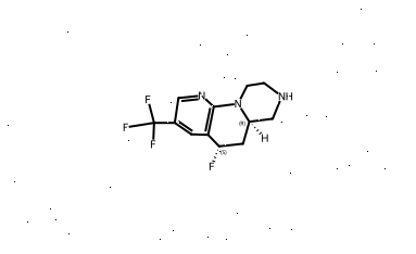 F[C@H]1C[C@@H]2CNCCN2c2ncc(C(F)(F)F)cc21